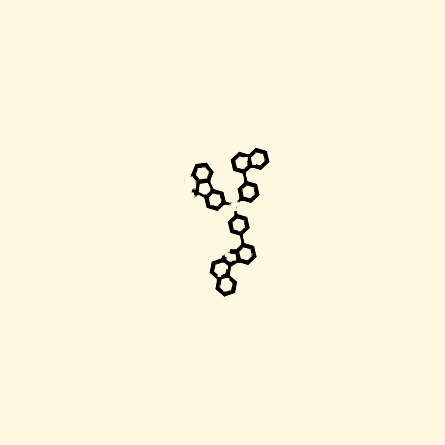 CC1(C)c2ccccc2-c2cc(N(c3ccc(-c4cccc5c4sc4ccc6ccccc6c45)cc3)c3cccc(-c4cccc5ccccc45)c3)ccc21